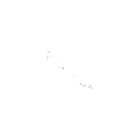 [N-]=[N+]=NCCOCCNC(=O)CCC(=O)O